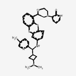 Cc1ccc(C(Nc2ccc3c(c2)Sc2cccc(C4CN(c5ccc[nH]c5=O)CCO4)c2S3)C2CC(N(C)C)C2)nc1